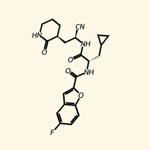 N#C[C@H](C[C@@H]1CCCNC1=O)NC(=O)[C@H](CC1CC1)NC(=O)c1cc2cc(F)ccc2o1